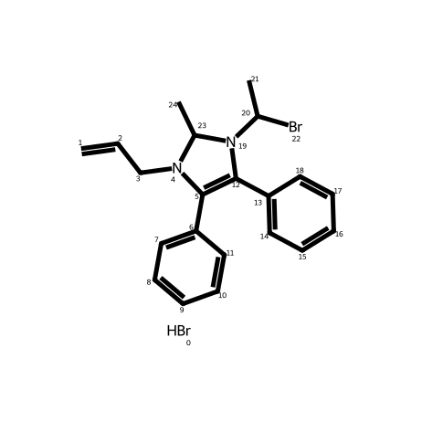 Br.C=CCN1C(c2ccccc2)=C(c2ccccc2)N(C(C)Br)C1C